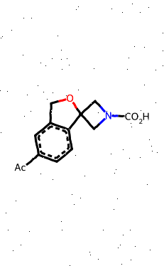 CC(=O)c1ccc2c(c1)COC21CN(C(=O)O)C1